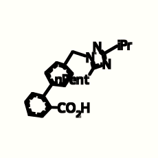 CCCCCc1nc(C(C)C)nn1Cc1ccc(-c2ccccc2C(=O)O)cc1